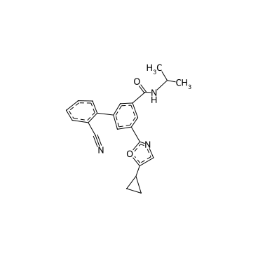 CC(C)NC(=O)c1cc(-c2ncc(C3CC3)o2)cc(-c2ccccc2C#N)c1